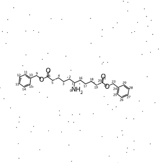 NC(CCCCC(=O)OCc1ccccc1)CCCCC(=O)OCc1ccccc1